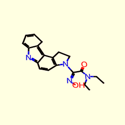 CCN(CC)C(=O)C(=NO)N1CCc2c1ccc1c2=C2CC=CC=C2N=1